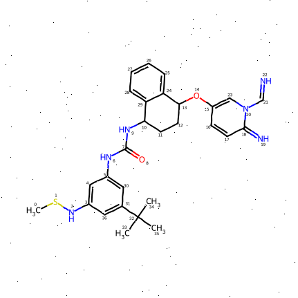 CSNc1cc(NC(=O)NC2CCC(Oc3ccc(=N)n(C=N)c3)c3ccccc32)cc(C(C)(C)C)c1